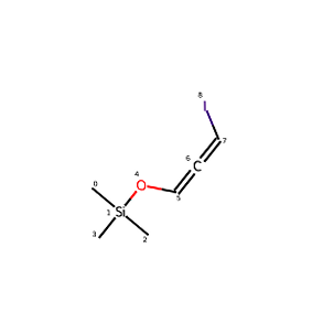 C[Si](C)(C)OC=C=CI